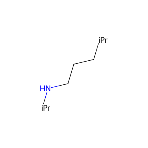 CC(C)CCCNC(C)C